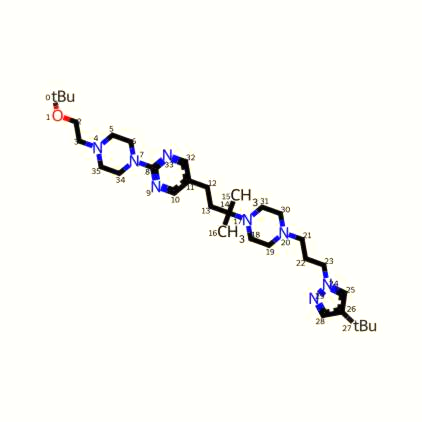 CC(C)(C)OCCN1CCN(c2ncc(CCC(C)(C)N3CCN(CCCn4cc(C(C)(C)C)cn4)CC3)cn2)CC1